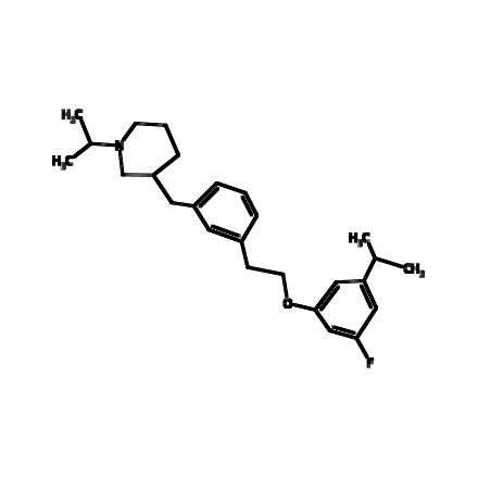 CC(C)c1cc(F)cc(OCCc2cccc(CC3CCCN(C(C)C)C3)c2)c1